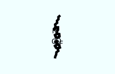 CCCCCCc1ccc(-c2ccc(OC(=O)c3ccc(CCCCC)cc3F)cc2)nc1